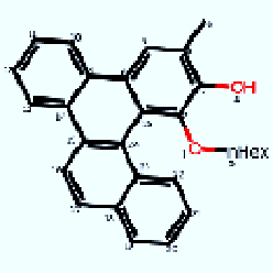 CCCCCCOc1c(O)c(C)cc2c3ccccc3c3ccc4ccccc4c3c12